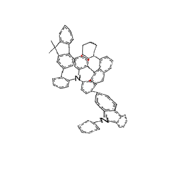 CC1(C)c2ccccc2-c2ccc(-c3ccccc3N(c3ccc(-c4ccc5c6ccccc6n(-c6ccccc6)c5c4)cc3)c3ccccc3-c3cccc4cccc(C5CCCCC5)c34)cc21